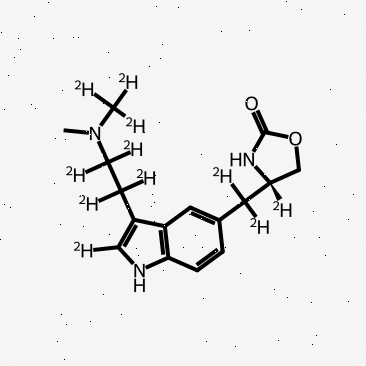 [2H]c1[nH]c2ccc(C([2H])([2H])[C@@]3([2H])COC(=O)N3)cc2c1C([2H])([2H])C([2H])([2H])N(C)C([2H])([2H])[2H]